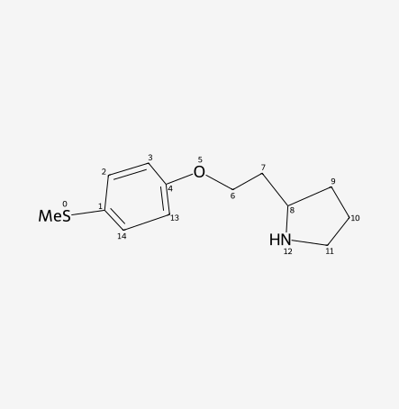 CSc1ccc(OCCC2CCCN2)cc1